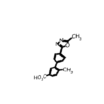 Cc1nnc(-c2ccc(-c3cc(C(=O)O)ccc3C)cc2)o1